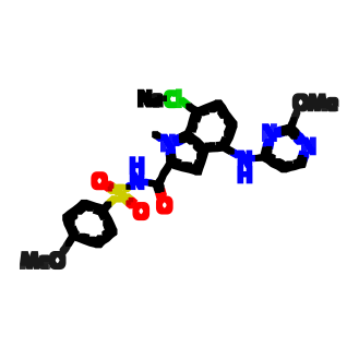 COc1ccc(S(=O)(=O)NC(=O)c2cc3c(Nc4ccnc(OC)n4)ccc(Cl)c3n2C)cc1.[Na]